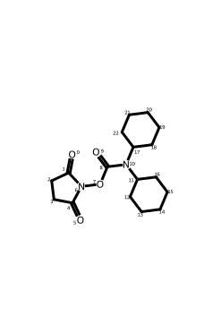 O=C1CCC(=O)N1OC(=O)N(C1CCCCC1)C1CCCCC1